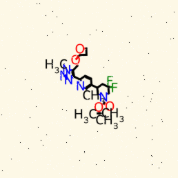 Cc1nc(-c2nnn(C)c2COC2CCO2)ccc1C1CN(C(=O)OC(C)(C)C)CC(F)(F)C1